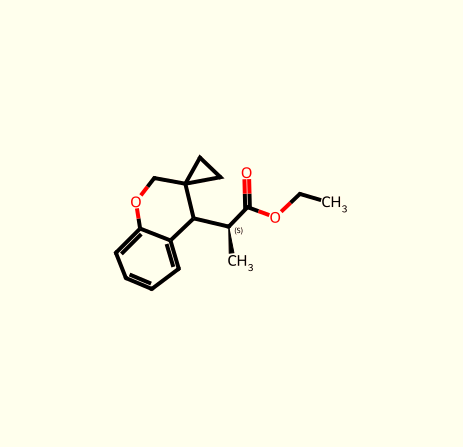 CCOC(=O)[C@@H](C)C1c2ccccc2OCC12CC2